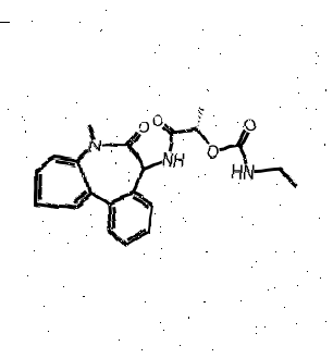 CCNC(=O)O[C@@H](C)C(=O)NC1C(=O)N(C)c2ccccc2-c2ccccc21